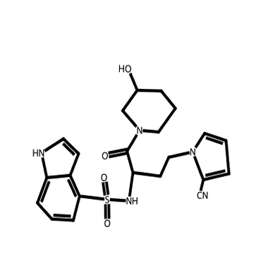 N#Cc1cccn1CCC(NS(=O)(=O)c1cccc2[nH]ccc12)C(=O)N1CCCC(O)C1